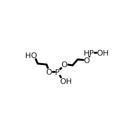 OCCOP(O)OCCOPO